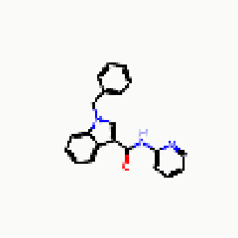 O=C(Nc1ccccn1)c1cn(Cc2ccccc2)c2ccccc12